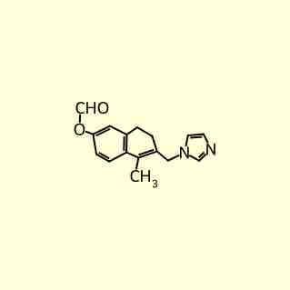 CC1=C(Cn2ccnc2)CCc2cc(OC=O)ccc21